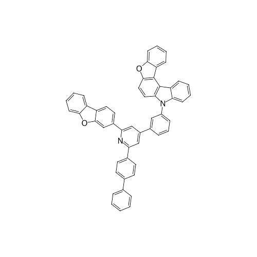 c1ccc(-c2ccc(-c3cc(-c4cccc(-n5c6ccccc6c6c7c(ccc65)oc5ccccc57)c4)cc(-c4ccc5c(c4)oc4ccccc45)n3)cc2)cc1